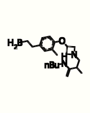 BCCc1ccc(OC2CN(CC(C)C(=C)NCCCC)C2)c(C)c1